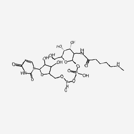 CNCCCCC(=O)NC1[C@@H](OP(=O)(O)O[PH](=O)OCC2OC(n3ccc(=O)[nH]c3=O)C(O)C2O)OC(CO)[C@H](O)[C@@H]1O